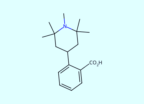 CN1C(C)(C)CC(c2ccccc2C(=O)O)CC1(C)C